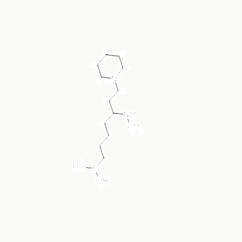 CNC(CCCCB(O)O)CCN1CCCCC1